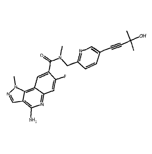 CN(Cc1ccc(C#CC(C)(C)O)cn1)C(=O)c1cc2c(cc1F)nc(N)c1cnn(C)c12